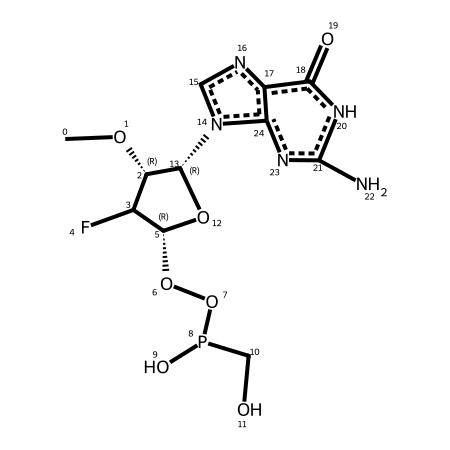 CO[C@H]1C(F)[C@@H](OOP(O)CO)O[C@H]1n1cnc2c(=O)[nH]c(N)nc21